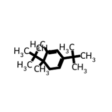 CC1=CC(C(C)(C)C)=CCC1(C)C(C)(C)C